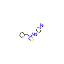 CN(C)c1ccc(/N=N/c2scc[n+]2Cc2ccccc2)cc1